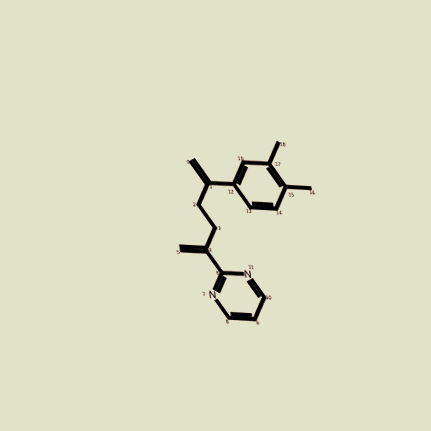 C=C(CCC(=C)c1ncccn1)c1ccc(C)c(C)c1